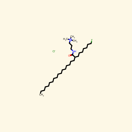 CCCCCCCCCCCCCCCCCC(CCCCCCCF)C(=O)NCCC[N+](C)(C)C.[Cl-]